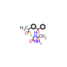 CC(=O)N[C@@H](CSC(=O)[C@H](C)c1cccc(C(=O)c2ccccc2)c1)C(N)=O